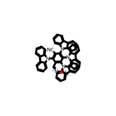 C/N=C\c1c(-n2c3ccccc3c3ccccc32)c(C#N)c(-n2c3ccccc3c3ccccc32)c(-n2c3ccccc3c3ccccc32)c1-n1c2ccccc2c2ccccc21